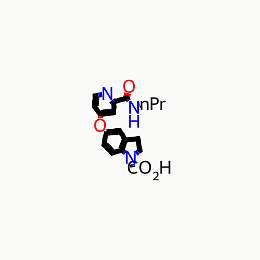 CCCNC(=O)c1cc(Oc2ccc3c(c2)CCN3C(=O)O)ccn1